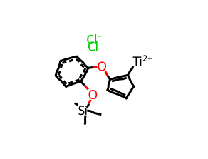 C[Si](C)(C)Oc1ccccc1OC1=[C]([Ti+2])CC=C1.[Cl-].[Cl-]